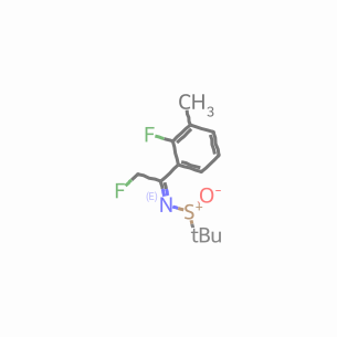 Cc1cccc(/C(CF)=N\[S+]([O-])C(C)(C)C)c1F